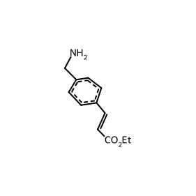 CCOC(=O)C=Cc1ccc(CN)cc1